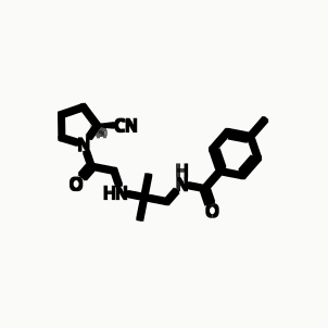 Cc1ccc(C(=O)NCC(C)(C)NCC(=O)N2CCC[C@H]2C#N)cc1